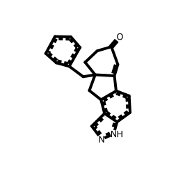 O=C1C=C2c3ccc4[nH]ncc4c3CC2(Cc2ccccc2)CC1